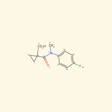 CN(C(=O)C1(C(=O)O)CC1)c1ccc(F)cc1